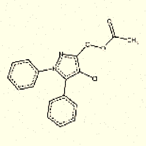 CC(=O)OOc1nn(-c2ccccc2)c(-c2ccccc2)c1Cl